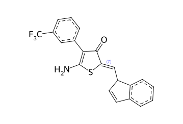 NC1=C(c2cccc(C(F)(F)F)c2)C(=O)/C(=C/C2C=Cc3ccccc32)S1